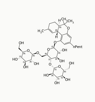 CCCCCc1cc(O[C@@H]2O[C@H](CO[C@@H]3O[C@H](CO)[C@@H](O)[C@H](O)[C@H]3O)[C@@H](O[C@@H]3O[C@H](CO)[C@@H](O)[C@H](O)[C@H]3O)[C@H](O)[C@H]2O)c2c(c1)OC(C)(C)[C@@H]1CCC(C)=C[C@@H]21